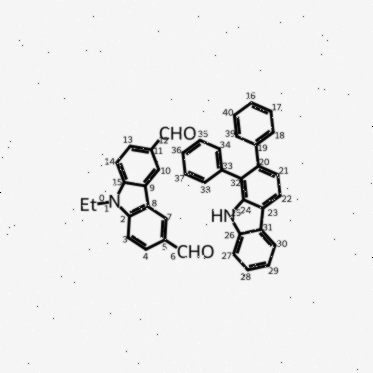 CCn1c2ccc(C=O)cc2c2cc(C=O)ccc21.c1ccc(-c2ccc3c([nH]c4ccccc43)c2-c2ccccc2)cc1